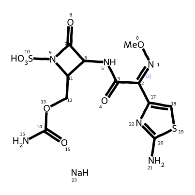 CO/N=C(\C(=O)NC1C(=O)N(S(=O)(=O)O)C1COC(N)=O)c1csc(N)n1.[NaH]